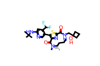 CCC[C@H](C)N(C)C(=O)c1nc(C(=O)NCC2(O)CCC2)sc1-c1cnc(NC(C)(C)C)cc1C(F)F